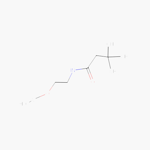 CCOCCNC(=O)CC(C)(C)C